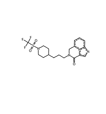 O=C1c2cnc3cccc(n23)CN1CCCC1CCN(S(=O)(=O)C(F)(F)F)CC1